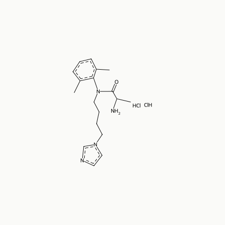 Cc1cccc(C)c1N(CCCCn1ccnc1)C(=O)C(C)N.Cl.Cl